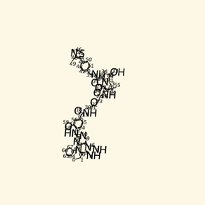 CC[C@@H]1C(=N)N(C=N)c2cnc(Nc3ccc(C(=O)NCCOCC(=O)N[C@H](C(=O)N4C[C@H](O)C[C@H]4C(=O)NCc4ccc(-c5scnc5C)cc4)C(C)(C)C)cc3OC)nc2N1C1CCCC1